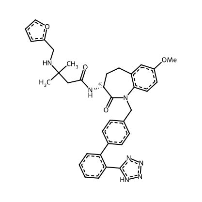 COc1ccc2c(c1)CC[C@@H](NC(=O)CC(C)(C)NCc1ccco1)C(=O)N2Cc1ccc(-c2ccccc2-c2nnn[nH]2)cc1